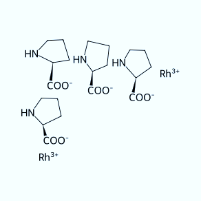 O=C([O-])[C@@H]1CCCN1.O=C([O-])[C@@H]1CCCN1.O=C([O-])[C@@H]1CCCN1.O=C([O-])[C@@H]1CCCN1.[Rh+3].[Rh+3]